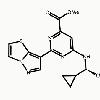 COC(=O)c1cc(N[C@@H](C)C2CC2)nc(-c2cnn3ccsc23)n1